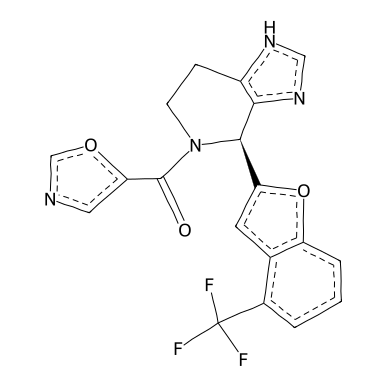 O=C(c1cnco1)N1CCc2[nH]cnc2[C@H]1c1cc2c(C(F)(F)F)cccc2o1